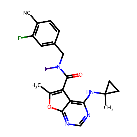 Cc1oc2ncnc(NC3(C)CC3)c2c1C(=O)N(I)Cc1ccc(C#N)c(F)c1